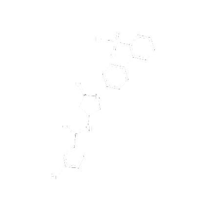 CS(=O)(=O)c1ccccc1-c1ccc(N2CC(NC(=O)c3ccc(Br)s3)CC2=O)cc1